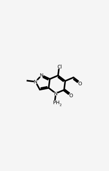 Cn1cc2c(n1)c(Cl)c(C=O)c(=O)n2P